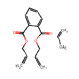 C=CCOC(=O)c1ccccc1C(=O)OCC=C.C=COC(C)=O